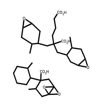 CC1CC2OC2CC1CC(CCCC(=O)O)(CC1CC2OC2CC1C)C(=O)O.CC1CCCCC1C1(C(=O)O)CC23OC2(CC1C)O3